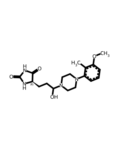 COc1cccc(N2CCN(C(O)CC[C@H]3NC(=O)NC3=O)CC2)c1C